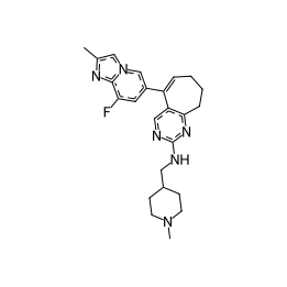 Cc1cn2cc(C3=CCCCc4nc(NCC5CCN(C)CC5)ncc43)cc(F)c2n1